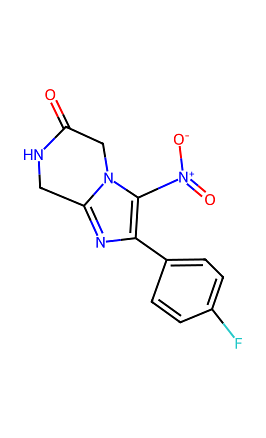 O=C1Cn2c(nc(-c3ccc(F)cc3)c2[N+](=O)[O-])CN1